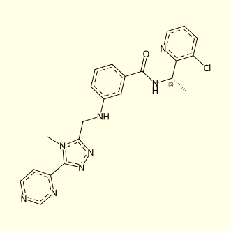 C[C@H](NC(=O)c1cccc(NCc2nnc(-c3ccncn3)n2C)c1)c1ncccc1Cl